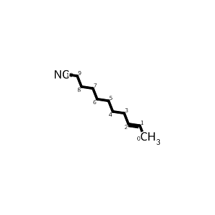 CC=CCCCCCCCC#N